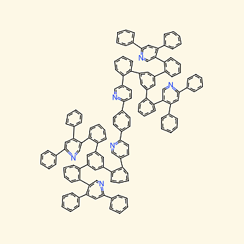 c1ccc(-c2cc(-c3ccccc3)c(-c3ccccc3-c3cc(-c4ccccc4-c4ccc(-c5ccc(-c6ccc(-c7ccccc7-c7cc(-c8ccccc8-c8cnc(-c9ccccc9)cc8-c8ccccc8)cc(-c8ccccc8-c8cnc(-c9ccccc9)cc8-c8ccccc8)c7)cn6)cc5)nc4)cc(-c4ccccc4-c4cnc(-c5ccccc5)cc4-c4ccccc4)c3)cn2)cc1